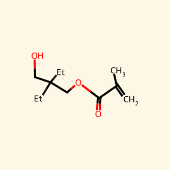 C=C(C)C(=O)OCC(CC)(CC)CO